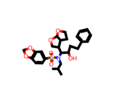 CC(C)CN(C(C(O)CCc1ccccc1)C1COC2OCCC21)S(=O)(=O)c1ccc2c(c1)OCO2